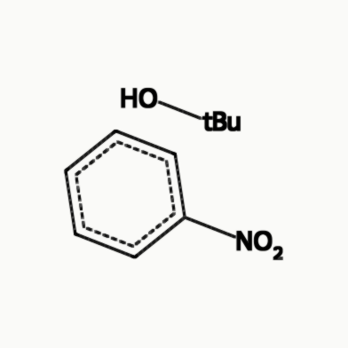 CC(C)(C)O.O=[N+]([O-])c1ccccc1